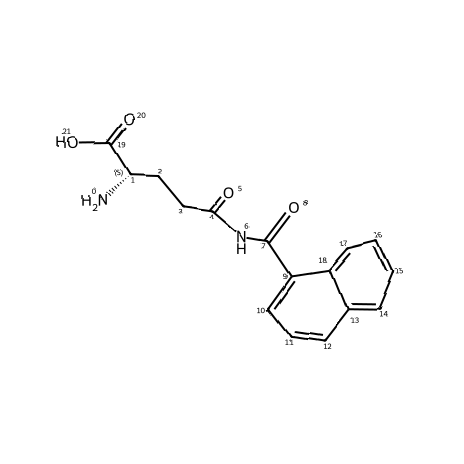 N[C@@H](CCC(=O)NC(=O)c1cccc2ccccc12)C(=O)O